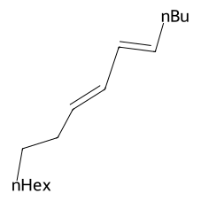 CCCC/C=C/C=C/CCCCCCCC